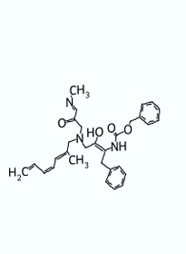 C=C/C=C\C=C(/C)CN(CC(=O)/C=N/C)C/C(O)=C(\Cc1ccccc1)NC(=O)OCc1ccccc1